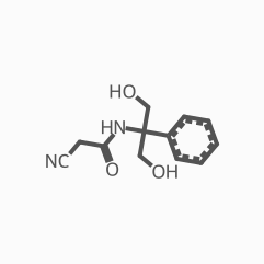 N#CCC(=O)NC(CO)(CO)c1ccccc1